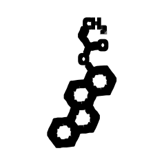 C=CC(=O)Oc1cccc2c1ccc1c3ccccc3ccc21